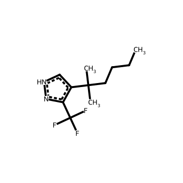 CCCCC(C)(C)c1c[nH]nc1C(F)(F)F